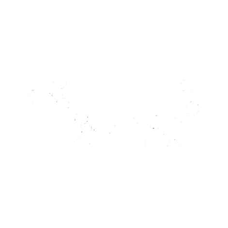 c1ccc(-c2cccc(-c3ccc(C4(c5cccc(-c6ccc(-c7ccc(-n8c9ccccc9c9cc(-c%10ccc%11c(c%10)c%10ccccc%10n%11-c%10ccccc%10)ccc98)cc7)cc6)c5)c5ccccc5-c5ccccc54)cc3)c2)cc1